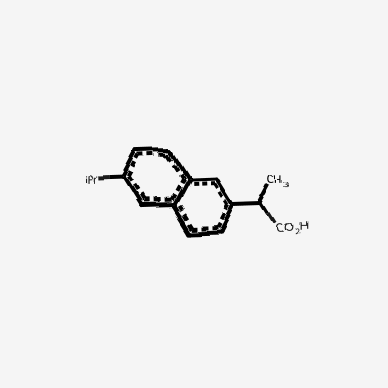 CC(C)c1ccc2cc(C(C)C(=O)O)ccc2c1